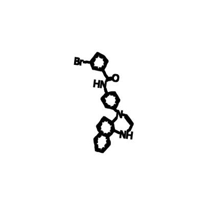 O=C(Nc1ccc(N2C=CCNc3c2ccc2ccccc32)cc1)c1cccc(Br)c1